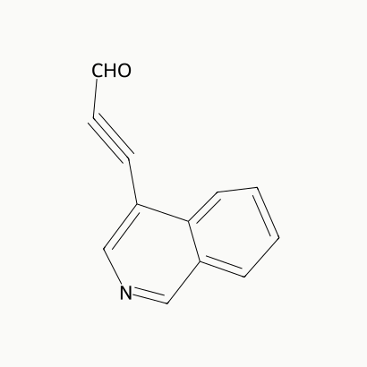 O=CC#Cc1cncc2ccccc12